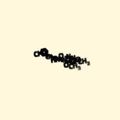 COc1cc(C)c2c(=O)n(CC(=O)NCCCOc3cccc(Cl)c3)cnc2n1